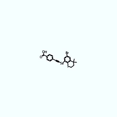 CC1(C)CCSc2c([Se]C#Cc3ccc(C(=O)O)cc3)cc(Br)cc21